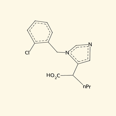 CCCC(C(=O)O)c1cncn1Cc1ccccc1Cl